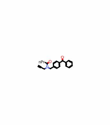 C#CCN(Cc1ccc(C(=O)c2ccccc2)cc1)C(=O)CCC